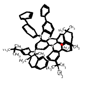 CC(C)(C)c1ccc(N2c3cc4c(cc3B3c5ccc(-c6ccccc6)cc5N(c5cccc(-c6ccccc6)c5)c5cc(N6c7ccc(C(C)(C)C)cc7C7(C)CCc8ccccc8C67C)cc2c53)C(C)(C)CCC4(C)C)c(-c2ccccc2)c1